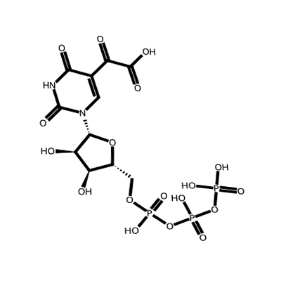 O=C(O)C(=O)c1cn([C@@H]2O[C@H](COP(=O)(O)OP(=O)(O)OP(=O)(O)O)[C@@H](O)[C@H]2O)c(=O)[nH]c1=O